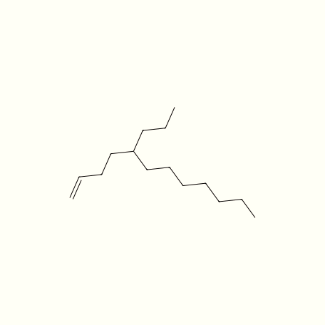 C=CCCC(CCC)CCCCCCC